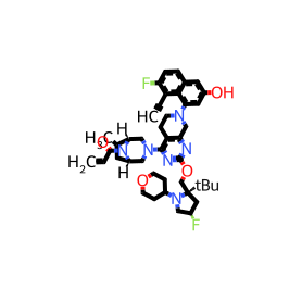 C#Cc1c(F)ccc2cc(O)cc(N3CCc4c(nc(OC[C@]5(C(C)(C)C)C[C@@H](F)CN5C5CCOCC5)nc4N4C[C@H]5CC(C)[C@@H](C4)N5C(=O)C=C)C3)c12